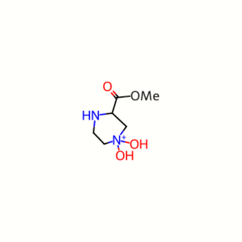 COC(=O)C1C[N+](O)(O)CCN1